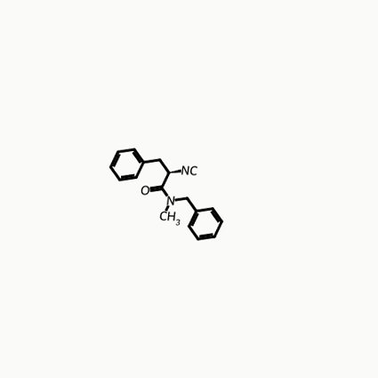 [C-]#[N+][C@H](Cc1ccccc1)C(=O)N(C)Cc1ccccc1